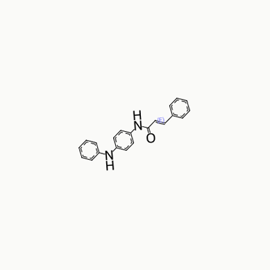 O=C(/C=C/c1ccccc1)Nc1ccc(Nc2ccccc2)cc1